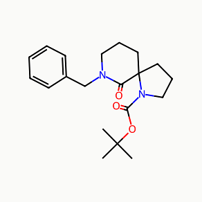 CC(C)(C)OC(=O)N1CCCC12CCCN(Cc1ccccc1)C2=O